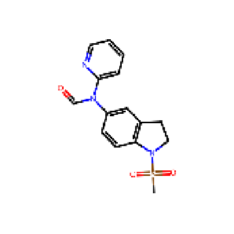 CS(=O)(=O)N1CCc2cc(N(C=O)c3ccccn3)ccc21